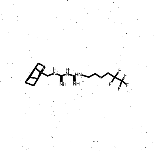 N=C(NCCCCC(F)(F)C(F)(F)F)NC(=N)NCC12C3C4C5C3C1C5C42